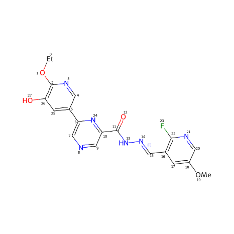 CCOc1ncc(-c2cncc(C(=O)N/N=C/c3cc(OC)cnc3F)n2)cc1O